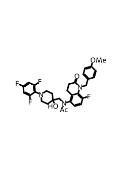 COc1ccc(CN2C(=O)CCc3c(N(CC4(O)CCN(c5c(F)cc(F)cc5F)CC4)C(C)=O)ccc(F)c32)cc1